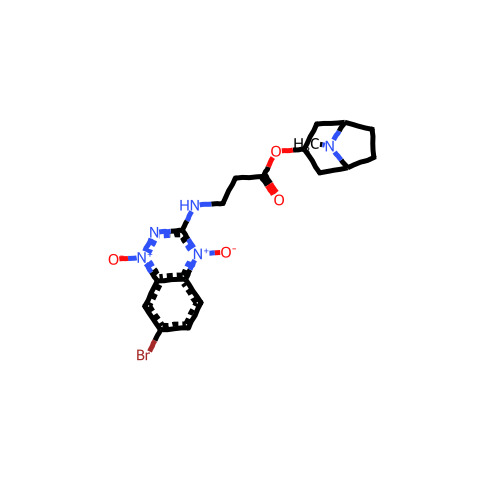 CN1C2CCC1CC(OC(=O)CCNc1n[n+]([O-])c3cc(Br)ccc3[n+]1[O-])C2